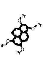 CC(C)Oc1cc(OC(C)C)c2ccc3c(OC(C)C)cc(OC(C)C)c4ccc1c2c43